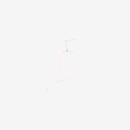 FC(F)(F)C1COP(OC2CCCC2)O1